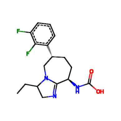 CCC1CN=C2[C@H](NC(=O)O)CC[C@@H](c3cccc(F)c3F)CN21